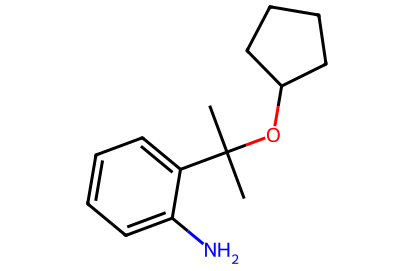 CC(C)(OC1CCCC1)c1ccccc1N